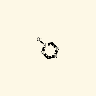 [O-][n+]1cnncn1